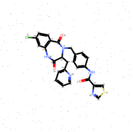 O=C(Nc1ccc(CN2C(=O)c3ccc(Cl)cc3NC(=O)C2Cc2ccccn2)cc1)c1cscn1